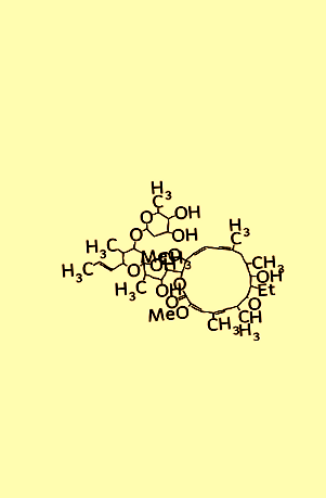 CC=CC1OC(O)(C(C)C(O)C(C)C2OC(=O)C(OC)=CC(C)=CC(C)C(O)C(CC)C(O)C(C)CC(C)=CC=CC2OC)CC(OC2CC(O)C(O)C(C)O2)C1C